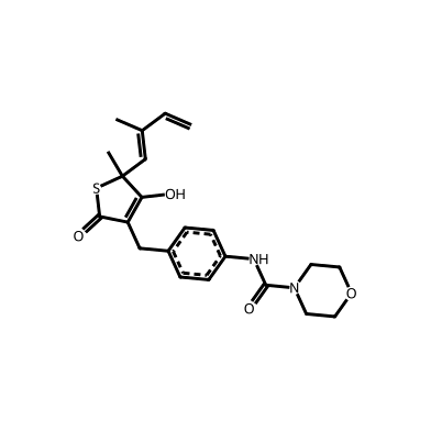 C=C/C(C)=C/C1(C)SC(=O)C(Cc2ccc(NC(=O)N3CCOCC3)cc2)=C1O